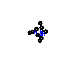 c1ccc(-c2ccc(-c3nc(-n4c5cc(-n6c7ccccc7c7cc8ccccc8cc76)ccc5c5c6ccccc6ccc54)nc4ccccc34)cc2)cc1